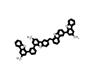 Cc1cc(-c2cccc(-c3cc(C)cc4c3oc3ccc(Cc5cccc6c5oc5ccc(-c7cc(C)cc8c7oc7ccccc78)cc56)cc34)c2)c2oc3ccccc3c2c1